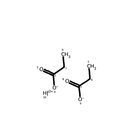 CCC(=O)[O-].CCC(=O)[O-].[Hf+2]